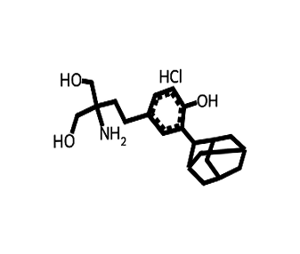 Cl.NC(CO)(CO)CCc1ccc(O)c(C2C3CC4CC(C3)CC2C4)c1